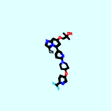 CC(C)(O)COc1cc(-c2ccc(N3CCC(Oc4ccc(C(F)F)nc4)CC3)nc2)n2c(C#N)cnc2c1